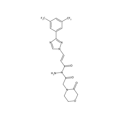 NN(C(=O)C=Cn1cnc(-c2cc(C(F)(F)F)cc(C(F)(F)F)c2)n1)C(=O)CN1CCOCC1=O